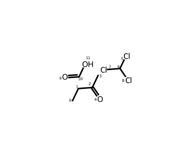 CCC(C)=O.ClC(Cl)Cl.O=CO